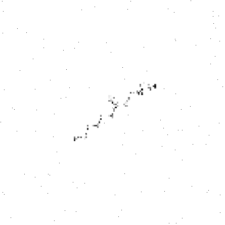 O=C(O)OCOC(=O)CCCCCBr